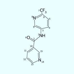 O=C(Nc1ccc(C(F)(F)F)nc1)c1cccnc1